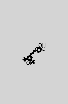 CC(C)(C)c1cc(CCCn2ccc(=O)c(O)c2)cc(C(C)(C)C)c1O